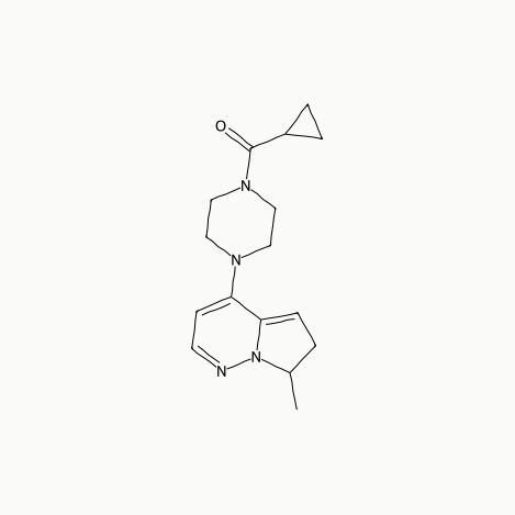 CC1CC=C2C(N3CCN(C(=O)C4CC4)CC3)=CC=NN21